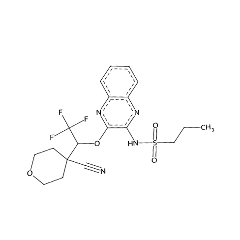 CCCS(=O)(=O)Nc1nc2ccccc2nc1OC(C(F)(F)F)C1(C#N)CCOCC1